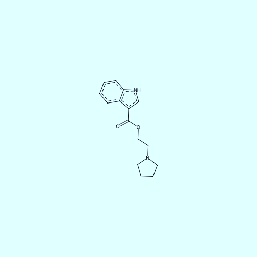 O=C(OCCN1CCCC1)c1c[nH]c2ccccc12